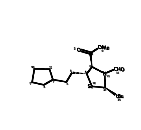 COC(=O)[C@@H]1[C@@H](CCC2CCCC2)[Se][C@H](C(C)(C)C)N1C=O